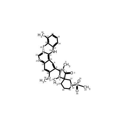 CNC(=O)C1(N(C)Cc2cc3c(Nc4cccc(C)c4F)ncnc3cc2OC)CCCN(S(C)(=O)=O)C1